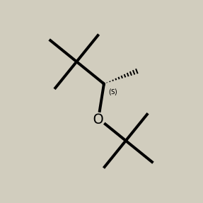 C[C@H](OC(C)(C)C)C(C)(C)C